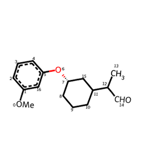 COc1cccc(O[C@H]2CCCC(C(C)C=O)C2)c1